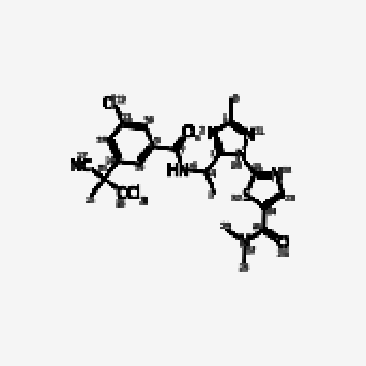 Cc1nc(C(C)NC(=O)c2cc(Cl)cc(C(C)(C#N)C(Cl)(Cl)Cl)c2)n(-c2ncc(C(=O)N(C)C)s2)n1